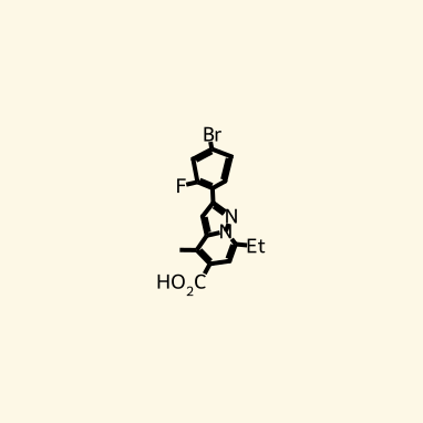 CCc1cc(C(=O)O)c(C)c2cc(-c3ccc(Br)cc3F)nn12